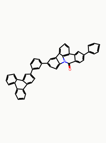 O=c1c2ccc(-c3ccccc3)cc2c2cccc3c4cc(-c5cccc(-c6ccc7c8ccccc8c8ccccc8c7c6)c5)ccc4n1c23